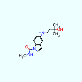 CNC(=O)n1ccc2cc(NCCC(C)(C)O)ccc21